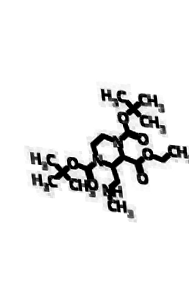 CCOC(=O)C1C(CNC)N(C(=O)OC(C)(C)C)CCN1C(=O)OC(C)(C)C